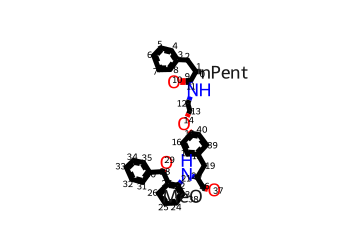 CCCCCC(Cc1ccccc1)C(=O)NCCOc1ccc(CC(Nc2ccccc2C(=O)c2ccccc2)C(=O)OC)cc1